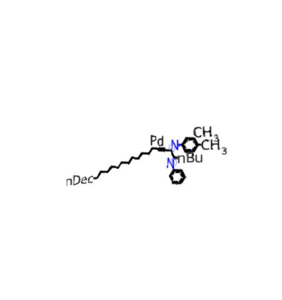 CCCCCCCCCCCCCCCCCCCCCCC#CC(=N/c1ccc(C)c(C)c1)/C(CCCC)=N/c1ccccc1.[Pd]